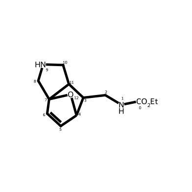 CCOC(=O)NCC1C2C=CC3(CNCC13)O2